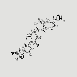 CCc1ccc2cc(-c3cc(F)c(-c4ccc(OC(F)(F)F)cc4)c(F)c3)ccc2c1